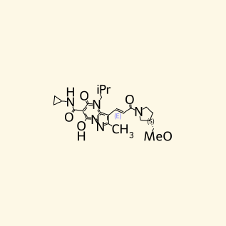 COC[C@H]1CCN(C(=O)/C=C/c2c(C)nn3c(O)c(C(=O)NC4CC4)c(=O)n(CC(C)C)c23)C1